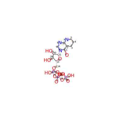 O=c1c2cccnc2ncn1[C@@H]1O[C@H](COP(=O)(O)OP(=O)(O)OP(=O)(O)O)[C@@H](O)[C@H]1O